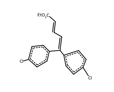 CCOC(=O)C=CC=C(c1ccc(Cl)cc1)c1ccc(Cl)cc1